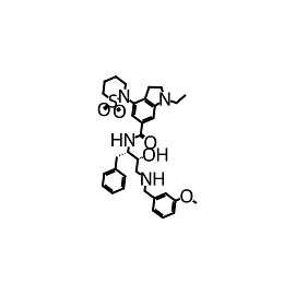 CCN1CCc2c1cc(C(=O)N[C@@H](Cc1ccccc1)[C@H](O)CNCc1cccc(OC)c1)cc2N1CCCCS1(=O)=O